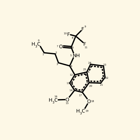 CCCCC(NC(=O)C(F)(F)F)c1cc(OC)c(OC)c2ccccc12